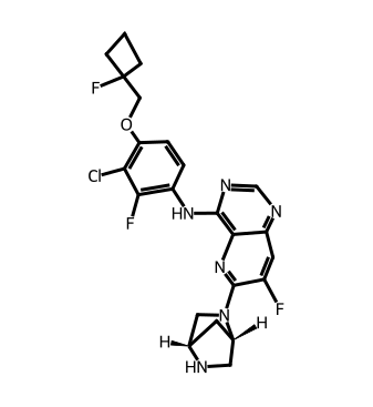 Fc1cc2ncnc(Nc3ccc(OCC4(F)CCC4)c(Cl)c3F)c2nc1N1C[C@@H]2C[C@H]1CN2